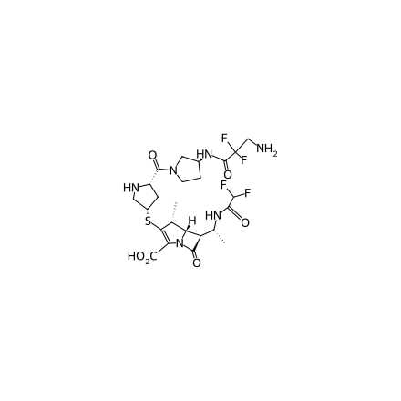 C[C@@H](NC(=O)C(F)F)[C@H]1C(=O)N2C(C(=O)O)=C(S[C@@H]3CN[C@H](C(=O)N4CC[C@H](NC(=O)C(F)(F)CN)C4)C3)[C@H](C)[C@H]12